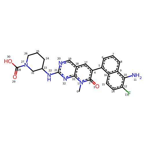 Cn1c(=O)c(-c2cccc3c(N)c(F)ccc23)cc2cnc(NC3CCCN(C(=O)O)C3)nc21